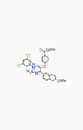 C/N=C(\C(=C/Nc1cc(Cl)cc(Cl)c1)Oc1ccc(C(=O)OC)cc1)c1ccc2cc(OC)ccc2c1